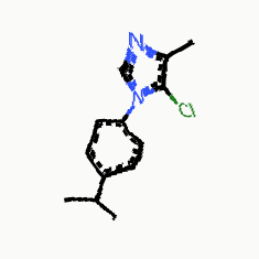 Cc1ncn(-c2ccc(C(C)C)cc2)c1Cl